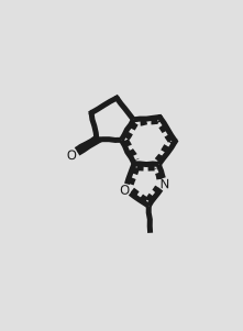 Cc1nc2ccc3c(c2o1)C(=O)CC3